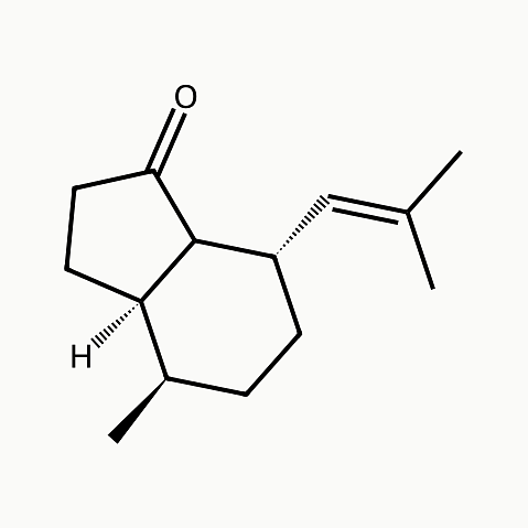 CC(C)=C[C@@H]1CC[C@@H](C)[C@H]2CCC(=O)C12